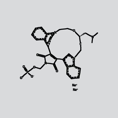 CN(C)C[C@@H]1CCn2cc(c3ccccc32)C2=C(C(=O)N(COP(=O)([O-])[O-])C2=O)c2cn(c3ccccc23)CCO1.[Na+].[Na+]